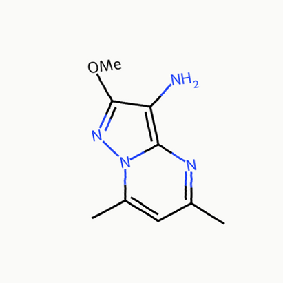 COc1nn2c(C)cc(C)nc2c1N